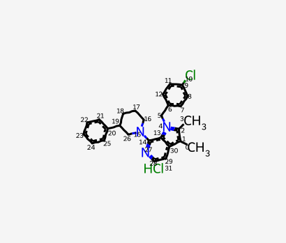 Cc1c(C)n(Cc2ccc(Cl)cc2)c2c(N3CCCC(c4ccccc4)C3)nccc12.Cl